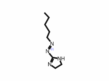 CCCCC/N=N/C1=NCCN1